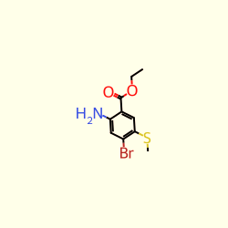 CCOC(=O)c1cc(SC)c(Br)cc1N